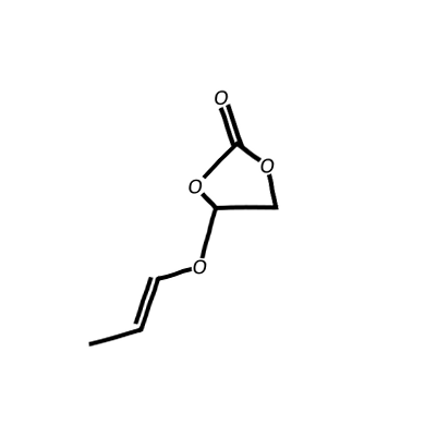 CC=COC1COC(=O)O1